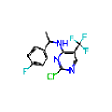 CC(Nc1nc(Cl)ncc1C(F)(F)F)c1ccc(F)cc1